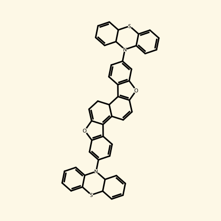 C1=CC2Sc3ccccc3N(c3ccc4c5c(oc4c3)C=CC3=c4c(oc6cc(N7c8ccccc8SC8C=CC=CC87)ccc46)=CCC35)C2C=C1